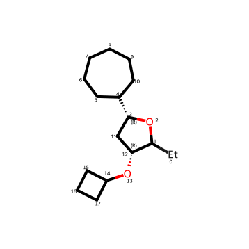 CCC1O[C@@H](C2CCCCCC2)C[C@H]1OC1CCC1